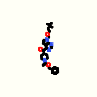 C=C(OCc1ccccc1)N1CCC(C(=O)c2ncnc3c2ccn3COCC[Si](C)(C)C)CC1